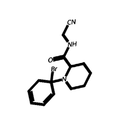 N#CCNC(=O)C1CCCCN1C1(Br)C=CC=CC1